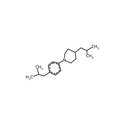 CC(C)Cc1ccc(N2CCC(CC(C)C)CC2)cc1